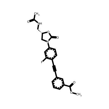 COC(=O)c1cccc(C#Cc2ccc(N3C[C@H](CNC(C)=O)OC3=O)cc2F)c1